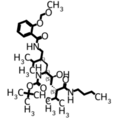 CCCCNC(=O)[C@@H](C[C@H](O)[C@H](C[C@H](CNC(=O)c1ccccc1OCOC)C(C)C)NC(=O)OC(C)(C)C)C(C)C